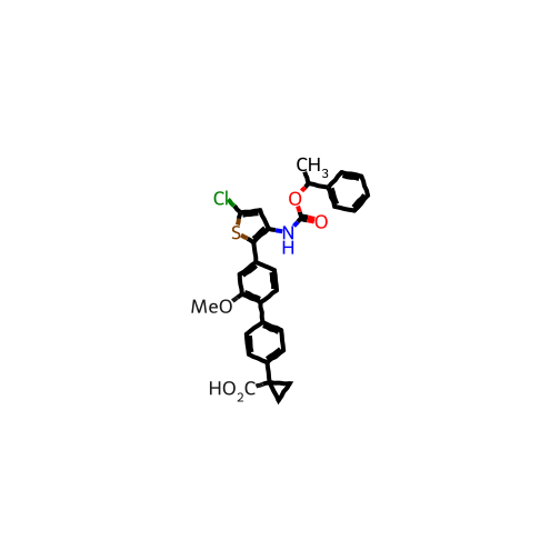 COc1cc(-c2sc(Cl)cc2NC(=O)OC(C)c2ccccc2)ccc1-c1ccc(C2(C(=O)O)CC2)cc1